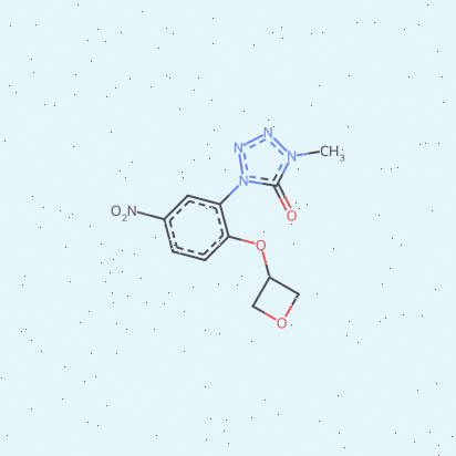 Cn1nnn(-c2cc([N+](=O)[O-])ccc2OC2COC2)c1=O